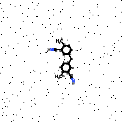 Cc1ccc(Cc2ccc(C)c(C#N)c2)cc1C#N